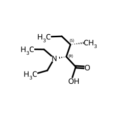 CC[C@H](C)[C@H](C(=O)O)N(CC)CC